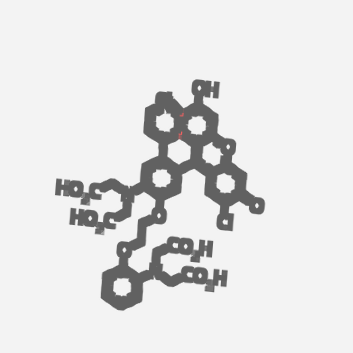 O=C(O)CN(CC(=O)O)c1ccccc1OCCOc1cc(-c2c3cc(Cl)c(=O)cc-3oc3cc(O)c(Cl)cc23)c(-c2ccncc2)cc1N(CC(=O)O)CC(=O)O